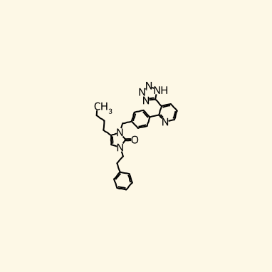 CCCCc1cn(CCc2ccccc2)c(=O)n1Cc1ccc(-c2ncccc2-c2nnn[nH]2)cc1